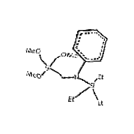 CC[Si](CC)(CC)N(C[Si](OC)(OC)OC)c1ccccc1